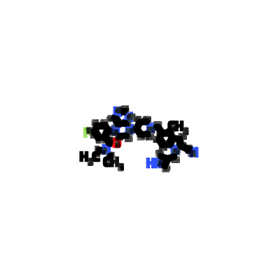 CCN(CC)C(=O)c1cc(F)ccc1N1CCN(C2CCN(Cc3ccc4c(cc(C#N)n4CC4CNC4)c3C)CC2)c2ncncc21